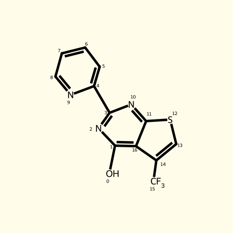 Oc1nc(-c2ccccn2)nc2scc(C(F)(F)F)c12